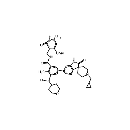 CCN(c1cc(-c2ccc3c(c2)NC(=O)C32CCN(CC3CC3)CC2)cc(C(=O)NCc2c(OC)cc(C)[nH]c2=O)c1C)C1CCOCC1